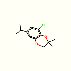 CC(C)c1cc(Cl)c2c(c1)OCC(C)(C)O2